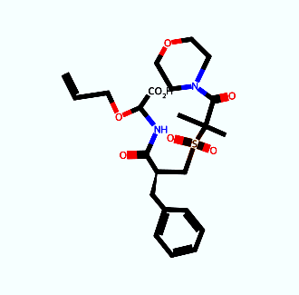 C=CCOC(NC(=O)[C@H](Cc1ccccc1)CS(=O)(=O)C(C)(C)C(=O)N1CCOCC1)C(=O)O